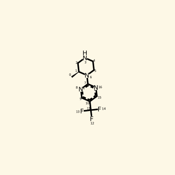 C[C@H]1CNCCN1c1ncc(C(F)(F)F)cn1